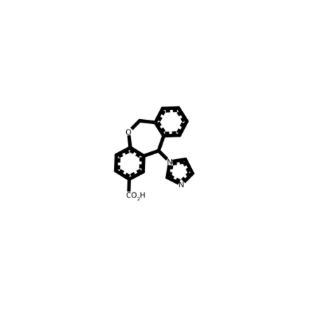 O=C(O)c1ccc2c(c1)C(n1ccnc1)c1ccccc1CO2